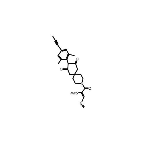 C=N/C=C(\SC)C(=O)N1CCC2(CC1)CC(=O)C(c1c(C)cc(C#CC)cc1C)C(=O)C2